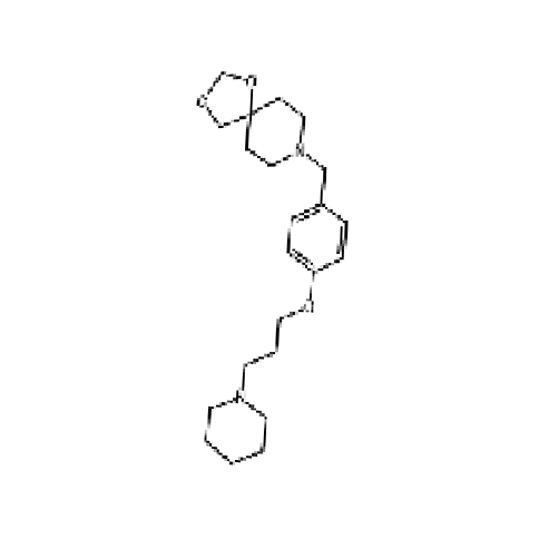 c1cc(OCCCN2CCCCC2)ccc1CN1CCC2(CC1)COCO2